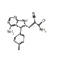 Cc1ccc(-c2c(/C=C(\C#N)C(N)=O)[nH]c3ncnc(N)c23)cc1